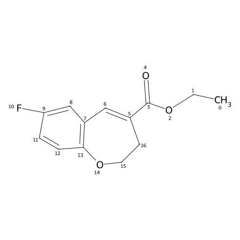 CCOC(=O)C1=Cc2cc(F)ccc2OCC1